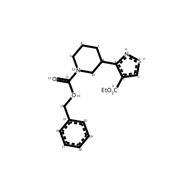 CCOC(=O)c1csnc1C1CCCN(C(=O)OCc2ccccc2)C1